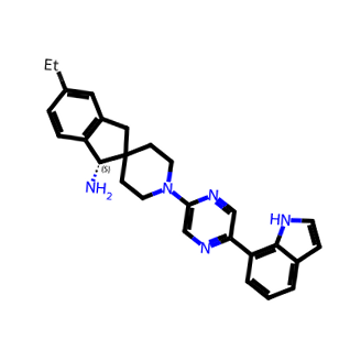 CCc1ccc2c(c1)CC1(CCN(c3cnc(-c4cccc5cc[nH]c45)cn3)CC1)[C@@H]2N